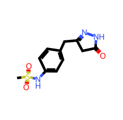 CS(=O)(=O)Nc1ccc(CC2=NNC(=O)C2)cc1